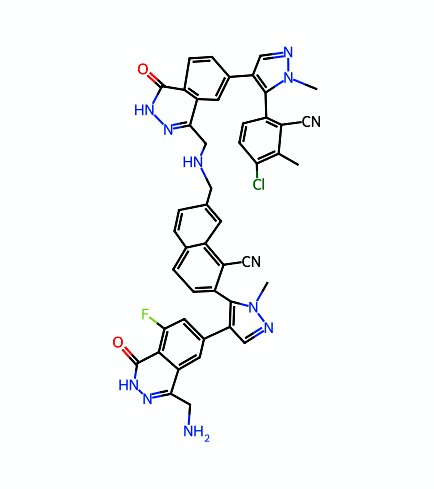 Cc1c(Cl)ccc(-c2c(-c3ccc4c(=O)[nH]nc(CNCc5ccc6ccc(-c7c(-c8cc(F)c9c(=O)[nH]nc(CN)c9c8)cnn7C)c(C#N)c6c5)c4c3)cnn2C)c1C#N